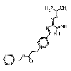 CC(P)S/N=C1/N=C(c2cc[n+](CCC(=O)OCc3ccccc3)cc2)NC1=N